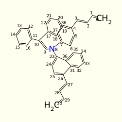 C=CC=Cc1ccc(N(C=C(c2ccccc2)c2ccccc2)c2ccc(C=CC=C)c3ccccc23)cc1